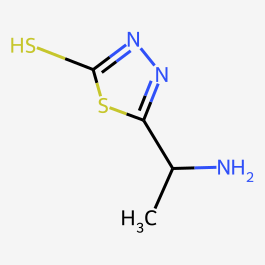 CC(N)c1nnc(S)s1